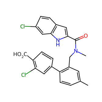 Cc1ccc(-c2ccc(C(=O)O)c(Cl)c2)c(CN(C)C(=O)c2cc3ccc(Cl)cc3[nH]2)c1